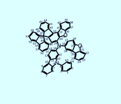 c1ccc(-n2c3ccccc3c3ccc(N(c4ccc5oc6ccccc6c5c4)c4cc5c(c6c4oc4ccccc46)-c4ccccc4C54c5ccccc5-c5ccccc54)cc32)cc1